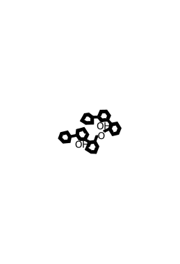 Oc1c(-c2ccccc2)cccc1-c1ccccc1COCc1ccccc1-c1cccc(-c2ccccc2)c1O